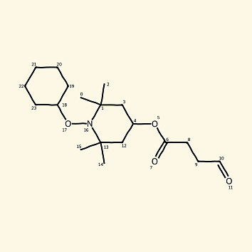 CC1(C)CC(OC(=O)CCC=O)CC(C)(C)N1OC1CCCCC1